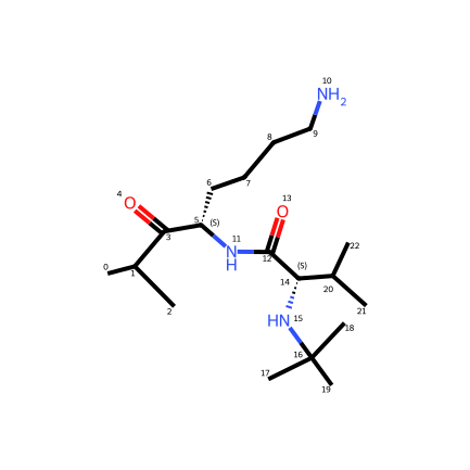 CC(C)C(=O)[C@H](CCCCN)NC(=O)[C@@H](NC(C)(C)C)C(C)C